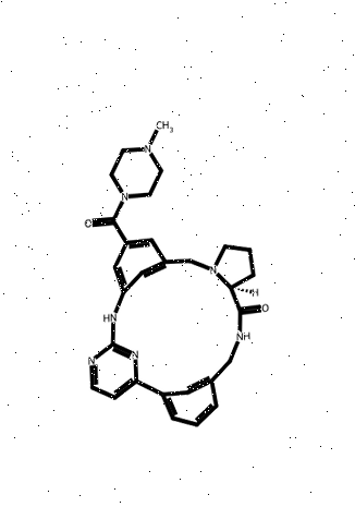 CN1CCN(C(=O)c2cc3cc(c2)Nc2nccc(n2)-c2cccc(c2)CNC(=O)[C@@H]2CCCN2C3)CC1